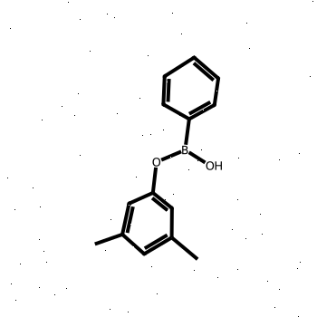 Cc1cc(C)cc(OB(O)c2ccccc2)c1